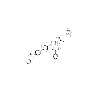 CC(=O)N(C(=O)[C@H]1NCCC1O)c1ccc(-c2ncc(C(=O)N(C(=O)C(N)c3ccccc3)C3C(=O)N4C(C(=O)O)=C(CSc5nnnn5C)CS[C@@H]34)c(O)n2)cc1